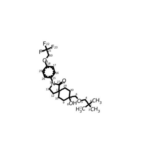 CC(C)(C)COCC1(O)CCC2(CCN(c3ccc(OCC(F)(F)F)cc3)C2=O)CC1